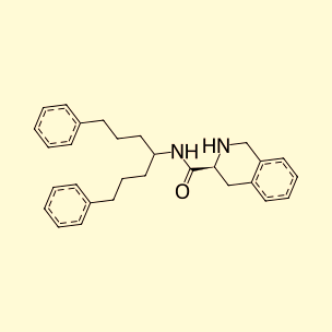 O=C(NC(CCCc1ccccc1)CCCc1ccccc1)[C@@H]1Cc2ccccc2CN1